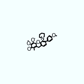 COC1=C(OC)C(=O)C(Cc2ccc(-c3ccc(OC)cc3)c(N3CCCCC3)c2)=C(C)C1=O